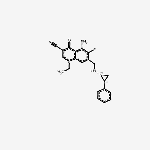 CCn1cc(C#N)c(=O)c2c(N)c(F)c(CN[C@@H]3C[C@H]3c3ccccc3)cc21